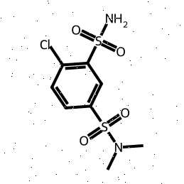 CN(C)S(=O)(=O)c1ccc(Cl)c(S(N)(=O)=O)c1